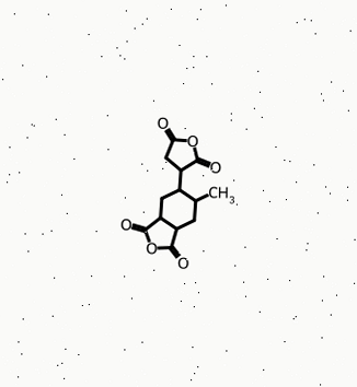 CC1CC2C(=O)OC(=O)C2CC1C1CC(=O)OC1=O